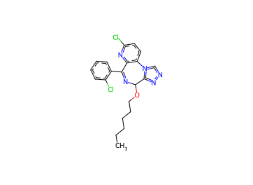 CCCCCCOC1N=C(c2ccccc2Cl)c2nc(Cl)ccc2-n2cnnc21